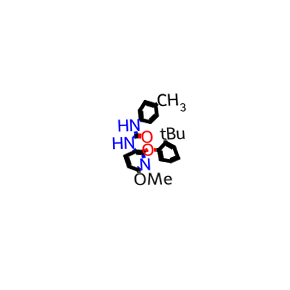 COc1ccc(NC(=O)Nc2ccc(C)cc2)c(Oc2ccccc2C(C)(C)C)n1